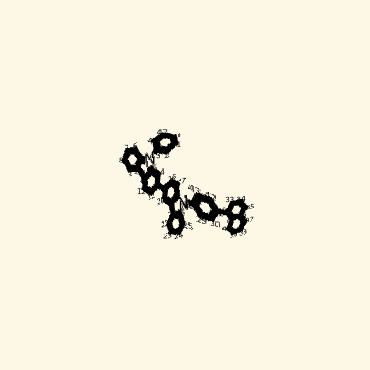 c1ccc(-n2c3ccccc3c3ccc(-c4ccc5c(c4)c4ccccc4n5-c4ccc(-c5cccc6ccccc56)cc4)cc32)cc1